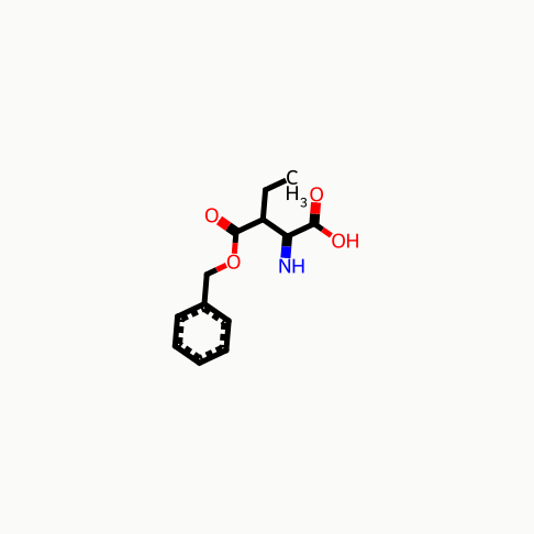 CCC(C(=N)C(=O)O)C(=O)OCc1ccccc1